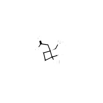 CC1(C)CC[C@]1(CN)CC(=O)O